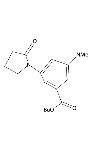 CNc1cc(C(=O)OCC(C)C)cc(N2CCCC2=O)c1